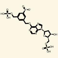 O=[N+]([O-])c1cc(COc2ncnc3c2ncn3[C@H]2C[C@@H](O)[C@@H](COP(=O)(O)O)O2)cc(COP(=O)(O)O)c1